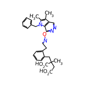 Cc1c(C)n(Cc2ccccc2)c2c(ON=CCc3ccccc3CC(C)(CC(=O)O)C(=O)O)nncc12